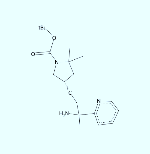 CC(C)(C)OC(=O)N1C[C@@H](CCC(C)(N)c2ccccn2)CC1(C)C